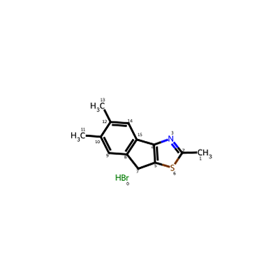 Br.Cc1nc2c(s1)Cc1cc(C)c(C)cc1-2